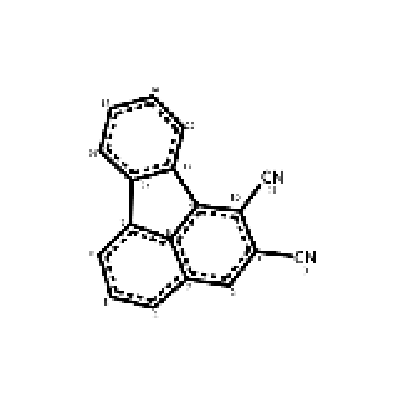 N#Cc1cc2cccc3c2c(c1C#N)-c1ccccc1-3